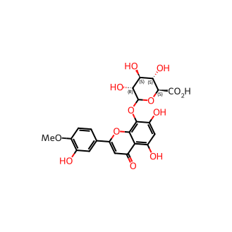 COc1ccc(-c2cc(=O)c3c(O)cc(O)c(OC4O[C@H](C(=O)O)[C@@H](O)[C@H](O)[C@H]4O)c3o2)cc1O